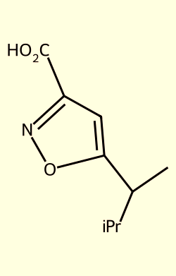 CC(C)C(C)c1cc(C(=O)O)no1